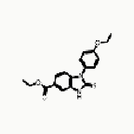 CCOC(=O)c1ccc2c(c1)[nH]c(=S)n2-c1ccc(OCC)cc1